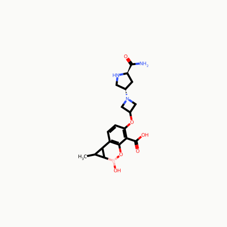 CC1C2B(O)Oc3c(ccc(OC4CN([C@@H]5CN[C@@H](C(N)=O)C5)C4)c3C(=O)O)C12